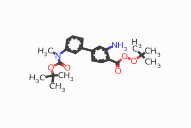 CN(C(=O)OC(C)(C)C)c1cccc(-c2ccc(C(=O)OOC(C)(C)C)c(N)c2)c1